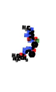 Cc1ncc2cc(C(=O)Nc3cc(C(=O)N[C@H](CCNC(=O)OC(C)(C)C)c4ccccc4)ccc3Cl)c(=O)[nH]c2n1